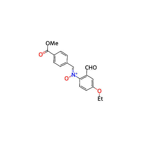 CCOc1ccc([N+]([O-])=Cc2ccc(C(=O)OC)cc2)c(C=O)c1